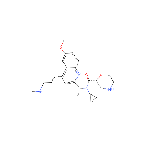 CNCCCc1cc([C@@H](C)N(C(=O)[C@H]2CNCCO2)C2CC2)nc2ccc(OC)cc12